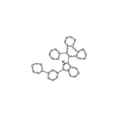 c1ccc(-c2cccc(-c3sc(-c4c(-c5ccccc5)c5ccccc5c5ccccc45)c4ccccc34)c2)cc1